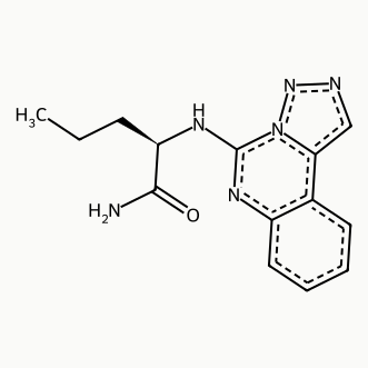 CCC[C@@H](Nc1nc2ccccc2c2cnnn12)C(N)=O